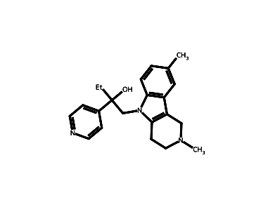 CCC(O)(Cn1c2c(c3cc(C)ccc31)CN(C)CC2)c1ccncc1